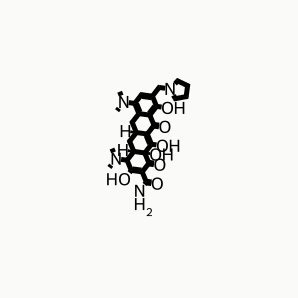 CN(C)c1cc(CN2CCCC2)c(O)c2c1C[C@H]1C[C@H]3C(N(C)C)C(O)=C(C(N)=O)C(=O)[C@@]3(O)C(O)=C1C2=O